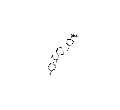 CSc1ccc(Oc2cccc(NC(=O)c3ccc(F)cc3)c2)cc1